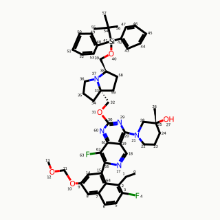 CCc1c(F)ccc2cc(OCOC)cc(-c3ncc4c(N5CCC[C@@](C)(O)C5)nc(OC[C@]56CCCN5[C@@H](CO[Si](c5ccccc5)(c5ccccc5)C(C)(C)C)CC6)nc4c3F)c12